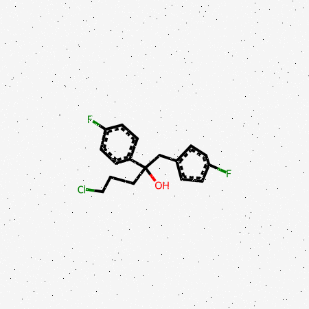 OC(CCCCl)(Cc1ccc(F)cc1)c1ccc(F)cc1